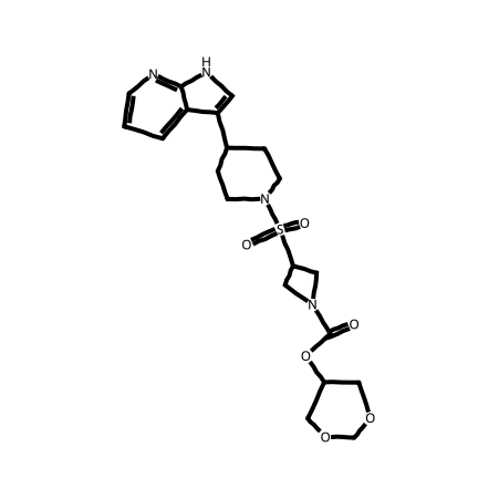 O=C(OC1COCOC1)N1CC(S(=O)(=O)N2CCC(c3c[nH]c4ncccc34)CC2)C1